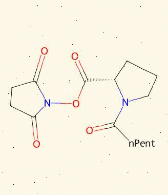 CCCCCC(=O)N1CCC[C@H]1C(=O)ON1C(=O)CCC1=O